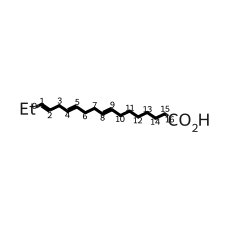 CCC=CCC=CCCC=CCCCCCCC(=O)O